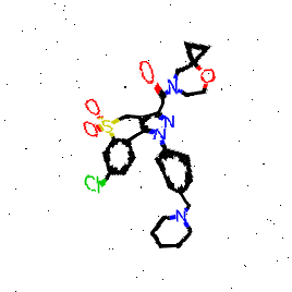 O=C(c1nn(-c2ccc(CN3CCCCC3)cc2)c2c1CS(=O)(=O)c1cc(Cl)ccc1-2)N1CCOC2(CC2)C1